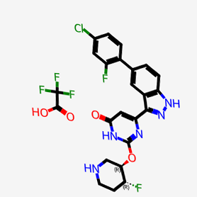 O=C(O)C(F)(F)F.O=c1cc(-c2n[nH]c3ccc(-c4ccc(Cl)cc4F)cc23)nc(O[C@@H]2CNCC[C@H]2F)[nH]1